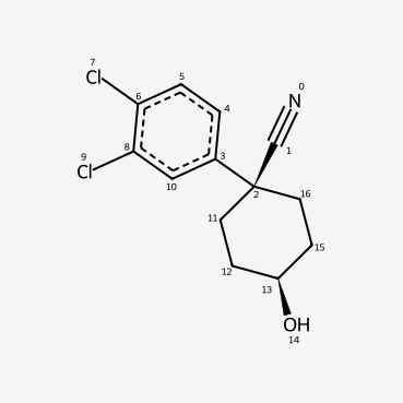 N#C[C@]1(c2ccc(Cl)c(Cl)c2)CC[C@H](O)CC1